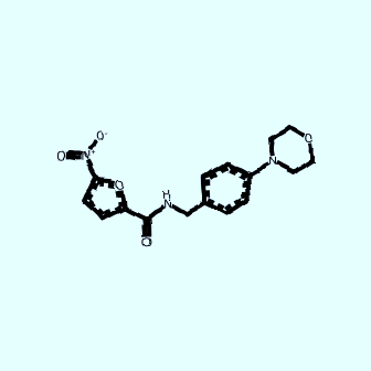 O=C(NCc1ccc(N2CCOCC2)cc1)c1ccc([N+](=O)[O-])o1